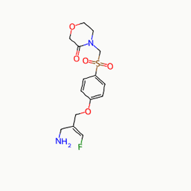 NCC(=CF)COc1ccc(S(=O)(=O)CN2CCOCC2=O)cc1